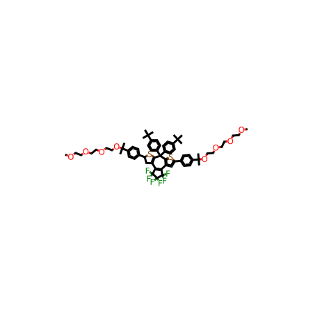 COCCOCCOCCOC(C)(C)c1ccc(-c2cc3c(s2)C(c2ccc(C(C)(C)C)cc2)(c2ccc(C(C)(C)C)cc2)C2=C(CC(c4ccc(C(C)(C)OCCOCCOCCOC)cc4)S2)C2=C3C(F)(F)C(F)(F)C2(F)F)cc1